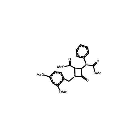 COC(=O)C1C(N(C(=O)OC)c2ccccc2)C(=O)N1Cc1ccc(OC)cc1OC